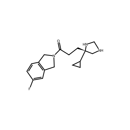 O=C(CC[C@]1(C2CC2)CNCN1)N1Cc2ccc(F)cc2C1